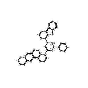 c1ccc2c(c#1)sc1c(C3C=C(c4cccc5c4ccc4cc6ccccc6cc45)NC(c4ccccc4)N3)cccc12